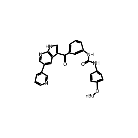 CCCCOc1ccc(NC(=O)Nc2cccc(C(=O)c3c[nH]c4ncc(-c5cccnc5)cc34)c2)cc1